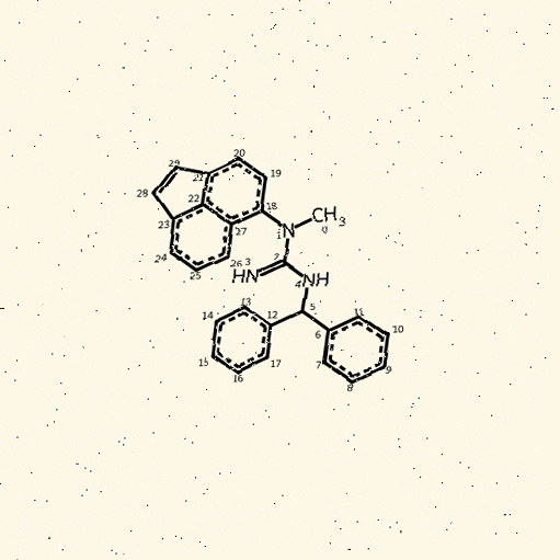 CN(C(=N)NC(c1ccccc1)c1ccccc1)c1ccc2c3c(cccc13)C=C2